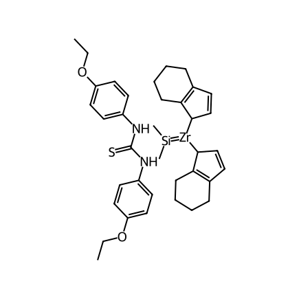 CCOc1ccc(NC(=S)Nc2ccc(OCC)cc2)cc1.C[Si](C)=[Zr]([CH]1C=CC2=C1CCCC2)[CH]1C=CC2=C1CCCC2